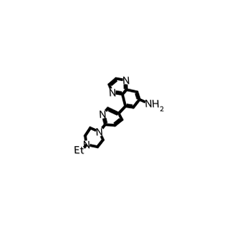 CCN1CCN(c2ccc(-c3cc(N)cc4nccnc34)cn2)CC1